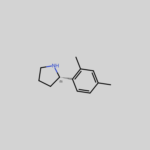 Cc1ccc([C@@H]2CCCN2)c(C)c1